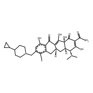 CN(C)[C@@H]1C(O)=C(C(N)=O)C(=O)[C@@]2(O)C(O)=C3C(=O)c4c(O)cc(CN5CCC(C6CC6)CC5)c(F)c4C[C@H]3C[C@@H]12